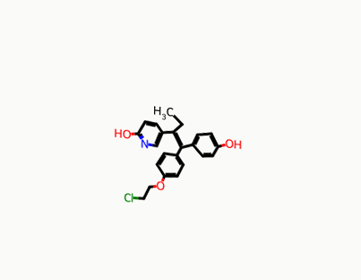 CC/C(=C(\c1ccc(O)cc1)c1ccc(OCCCl)cc1)c1ccc(O)nc1